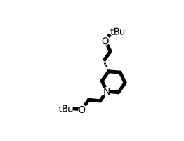 CC(C)(C)OCC[C@@H]1CCCN(CCOC(C)(C)C)C1